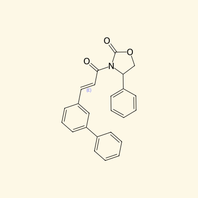 O=C(/C=C/c1cccc(-c2ccccc2)c1)N1C(=O)OCC1c1ccccc1